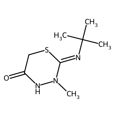 CN1NC(=O)CS/C1=N\C(C)(C)C